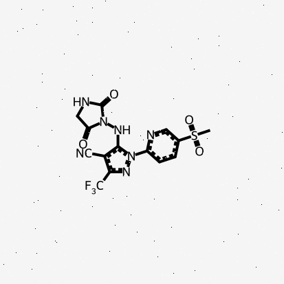 CS(=O)(=O)c1ccc(-n2nc(C(F)(F)F)c(C#N)c2NN2C(=O)CNC2=O)nc1